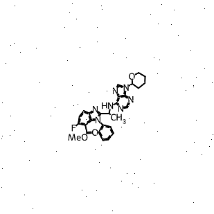 COC(=O)c1c(F)ccc2nc([C@H](C)Nc3ncnc4c3ncn4C3CCCCO3)n(-c3ccccc3)c12